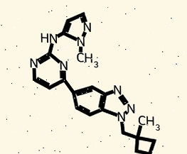 Cn1nccc1Nc1nccc(-c2ccc3c(c2)nnn3CC2(C)CCC2)n1